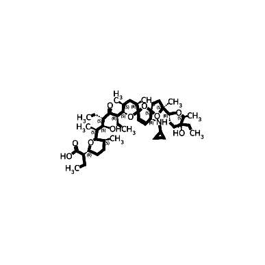 CCC(C(=O)O)[C@H]1CC[C@H](C)C([C@@H](C)[C@H](O)[C@H](CC)C(=O)[C@H](CC)[C@H]2OC3(C=C[C@@H](NC4CC4)[C@]4(CC[C@@](C)([C@H]5CC[C@](O)(CC)[C@H](C)O5)O4)O3)[C@H](C)C[C@@H]2C)O1